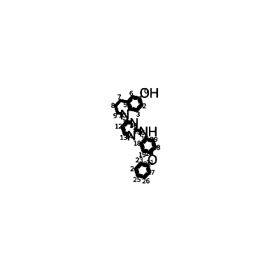 Oc1ccc2c(c1)CCCN2c1ccnc(Nc2ccc(Oc3ccccc3)cc2)n1